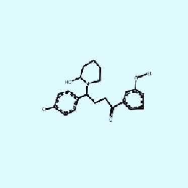 CCOc1cccc(C(=O)CCC(c2ccc(Cl)cc2)N2CCCCC2O)c1